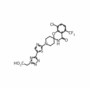 O=C(O)Cn1nnc(-c2cnc(N3CCC4(CC3)NC(=O)c3c(C(F)(F)F)ccc(Cl)c3O4)s2)n1